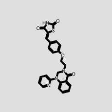 O=C1NC(=O)C(=Cc2ccc(OCCN3CN(c4ccccn4)c4ccccc4C3=O)cc2)S1